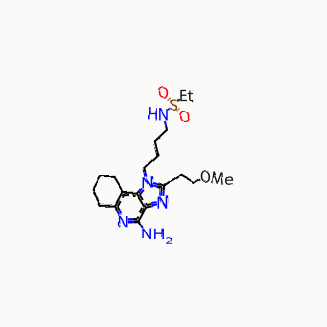 CCS(=O)(=O)NCCCCn1c(CCOC)nc2c(N)nc3c(c21)CCCC3